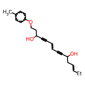 CCC=CCC(O)C#CC=CC#CC(O)CCOc1ccc(C)cc1